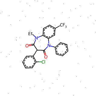 CCN1C(=O)C(c2ccccc2Cl)C(=O)N(c2ccccc2)c2cc(C(F)(F)F)ccc21